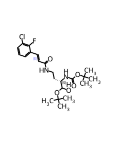 CC(C)(C)OC(=O)N[C@@H](CCNC(=O)/C=C/c1cccc(Cl)c1F)C(O)OC(C)(C)C